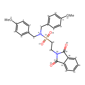 COc1ccc(CN(Cc2ccc(OC)cc2)S(=O)(=O)CCN2C(=O)c3ccccc3C2=O)cc1